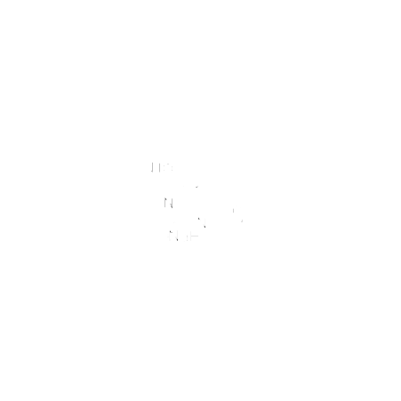 Oc1cc(O)ncn1.[NaH]